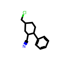 N#CC1CC(CCl)CCC1c1ccccc1